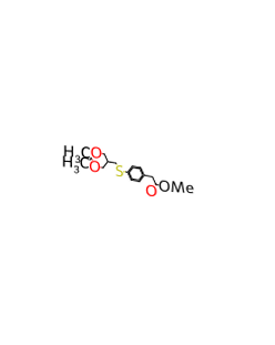 COC(=O)Cc1ccc(SCC2COC(C)(C)OC2)cc1